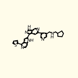 c1csc(-c2nccc3[nH]c(-c4n[nH]c5cnc(-c6cncc(CNCC7CCCC7)c6)cc45)cc23)c1